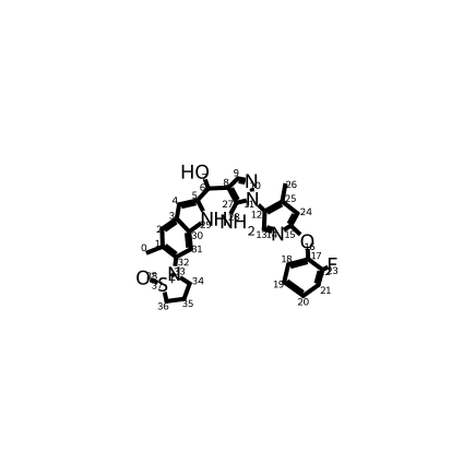 Cc1cc2cc(C(O)c3cnn(-c4cnc(Oc5ccccc5F)cc4C)c3N)[nH]c2cc1N1CCC[S+]1[O-]